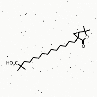 CC(C)(CCCCCCCCCCCCC12CC1C(C)(C)OC2=O)C(=O)O